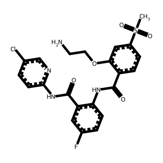 CS(=O)(=O)c1ccc(C(=O)Nc2ccc(F)cc2C(=O)Nc2ccc(Cl)cn2)c(OCCN)c1